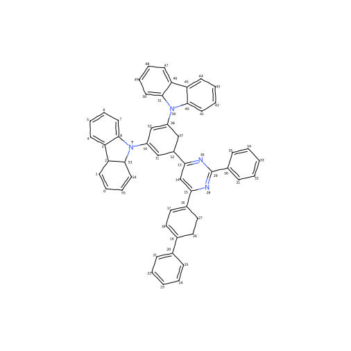 C1=CC2c3ccccc3N(C3=CC(c4cc(C5=CC=C(c6ccccc6)CC5)nc(-c5ccccc5)n4)CC(n4c5ccccc5c5ccccc54)=C3)C2C=C1